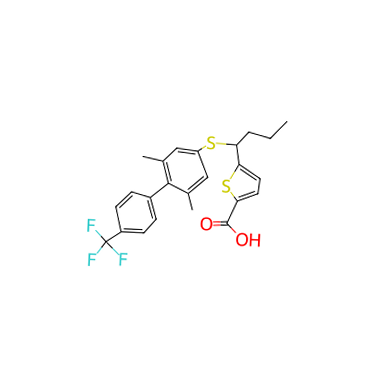 CCCC(Sc1cc(C)c(-c2ccc(C(F)(F)F)cc2)c(C)c1)c1ccc(C(=O)O)s1